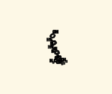 CC1(C)OB(c2ccc3nc(Nc4cccc(N[C@H]5CC[C@H](O)CC5)n4)sc3c2)OC1(C)C